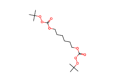 CC(C)(C)OOC(=O)OCCCCCCOC(=O)OOC(C)(C)C